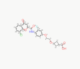 O=C(Nc1ccc(OCCOC2CC(C(=O)O)C2)cc1F)c1cc(=O)c2cccc(Cl)c2o1